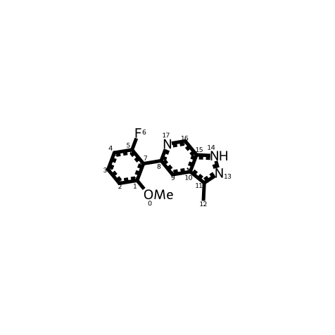 COc1cccc(F)c1-c1cc2c(C)n[nH]c2cn1